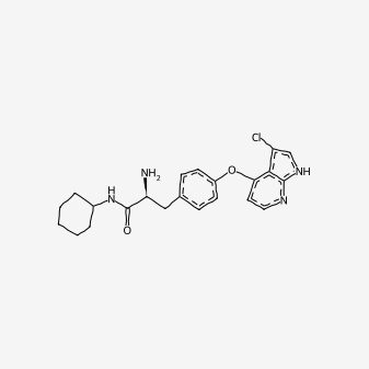 N[C@@H](Cc1ccc(Oc2ccnc3[nH]cc(Cl)c23)cc1)C(=O)NC1CCCCC1